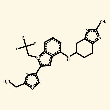 Cc1nc2c(s1)CC(Nc1cccc3c1cc(-c1noc(CN)n1)n3CC(F)(F)F)CC2